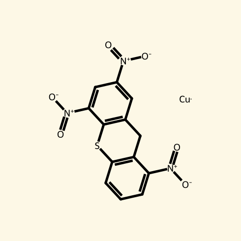 O=[N+]([O-])c1cc2c(c([N+](=O)[O-])c1)Sc1cccc([N+](=O)[O-])c1C2.[Cu]